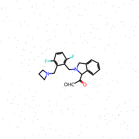 O=CC(=O)C1c2ccccc2CN1Cc1c(F)ccc(F)c1CN1CCC1